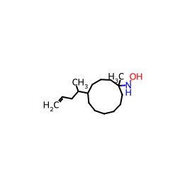 C=CCC(C)C1CCCCCCC(C)(NO)CCC1